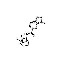 Cn1cnc2ccc(C(=O)NC3C4CCN(CC4)C3(C)C)cc21